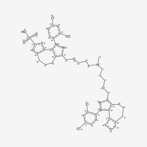 CN(CCCOCc1nn(-c2ccc(Cl)cc2Cl)c2c1CCCc1ccsc1-2)CCCOCc1nn(-c2ccc(Cl)cc2Cl)c2c1CCCc1cc(S(=O)(=O)O)sc1-2